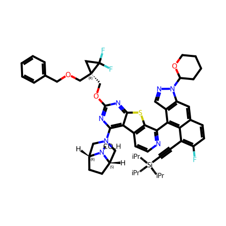 CC(C)[Si](C#Cc1c(F)ccc2cc3c(cnn3C3CCCCO3)c(-c3nccc4c3sc3nc(OC[C@]5(COCc6ccccc6)CC5(F)F)nc(N5C[C@H]6CC[C@@H](C5)N6C(=O)O)c34)c12)(C(C)C)C(C)C